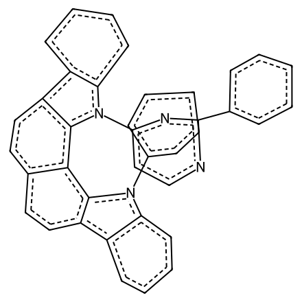 c1ccc(-c2nccc(-n3c4ccccc4c4ccc5ccc6c7ccccc7n(-c7ccccc7)c6c5c43)n2)cc1